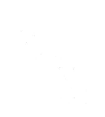 C\C=C/C(=C\N=C(/N)NC1(C)CC1CC(C)(C)c1cnc(NCCC)nc1)C(C)(C)C